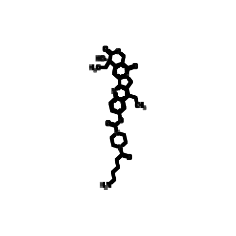 CCc1c2c(nc3ccc(OC(=O)N4CCN(C(=O)CCCCN)CC4)cc13)-c1cc3c(c(=O)n1C2)COC(=O)[C@]3(O)CC